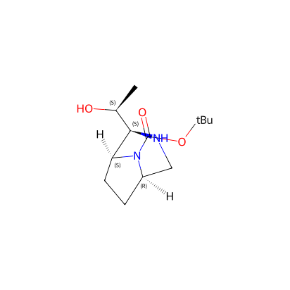 C[C@H](O)[C@H]1NC[C@H]2CC[C@@H]1N2C(=O)OC(C)(C)C